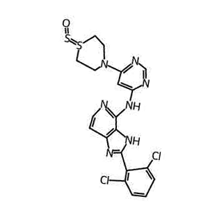 O=S=S1CCN(c2cc(Nc3nccc4nc(-c5c(Cl)cccc5Cl)[nH]c34)ncn2)CC1